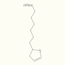 CCCCCCCCCCCCC1CC=CS1